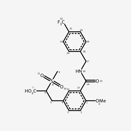 COc1ccc(CC(C(=O)O)S(C)(=O)=O)cc1C(=O)NCc1ccc(C(F)(F)F)cc1